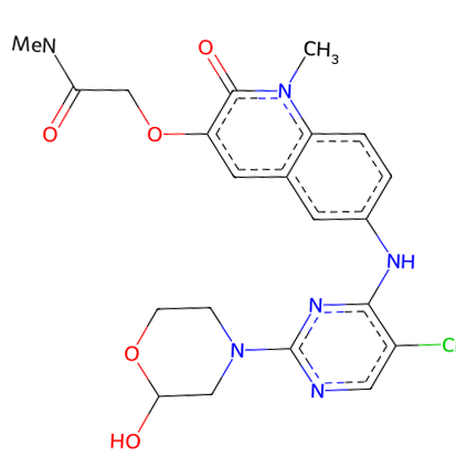 CNC(=O)COc1cc2cc(Nc3nc(N4CCOC(O)C4)ncc3Cl)ccc2n(C)c1=O